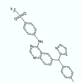 O=S(=O)(c1ccc(Nc2ncnc3ccc(C(c4ccc(Cl)cc4)c4nccs4)cc23)cc1)C(F)(F)F